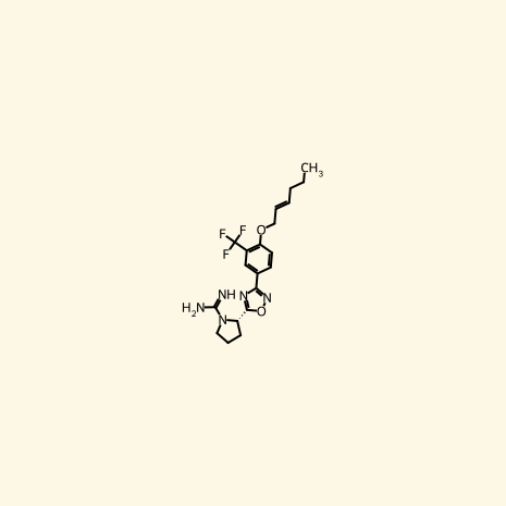 CCC/C=C/COc1ccc(-c2noc([C@@H]3CCCN3C(=N)N)n2)cc1C(F)(F)F